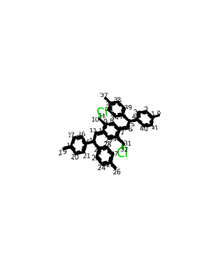 Cc1ccc(C(C=c2cc(CCl)c(=CC(c3ccc(C)cc3)c3ccc(C)cc3)cc2CCl)c2ccc(C)cc2)cc1